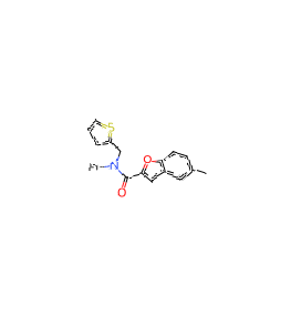 CCN(Cc1cccs1)C(=O)c1cc2cc(C)ccc2o1